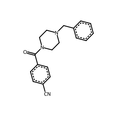 N#Cc1ccc(C(=O)N2CCN(Cc3ccccc3)CC2)cc1